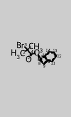 CC(C)(Br)C(=O)On1ccc2ccccc21